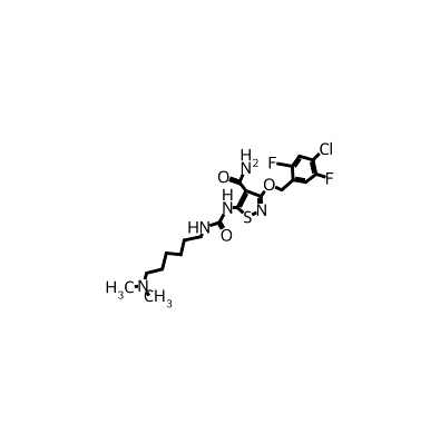 CN(C)CCCCCCNC(=O)Nc1snc(OCc2cc(F)c(Cl)cc2F)c1C(N)=O